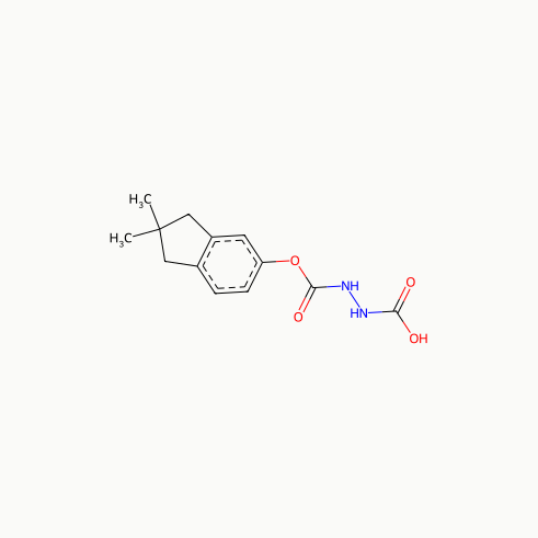 CC1(C)Cc2ccc(OC(=O)NNC(=O)O)cc2C1